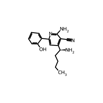 CCCC[C@H](N)c1cc(-c2ccccc2O)nc(N)c1C#N